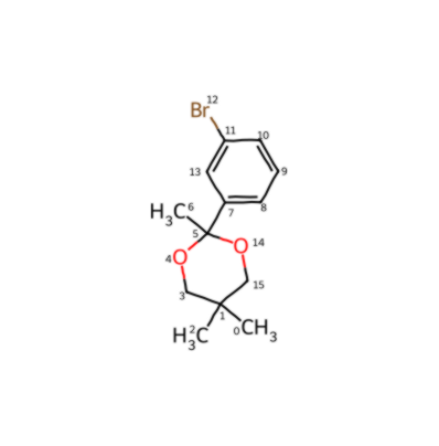 CC1(C)COC(C)(c2cccc(Br)c2)OC1